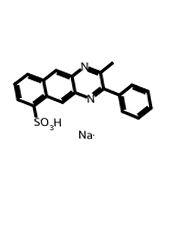 Cc1nc2cc3cccc(S(=O)(=O)O)c3cc2nc1-c1ccccc1.[Na]